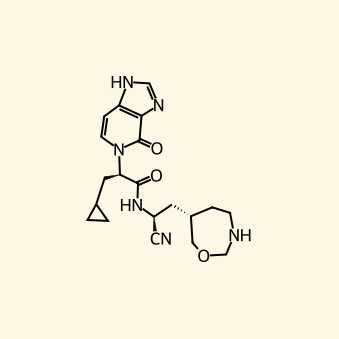 N#C[C@H](C[C@@H]1CCNCOC1)NC(=O)[C@@H](CC1CC1)n1ccc2[nH]cnc2c1=O